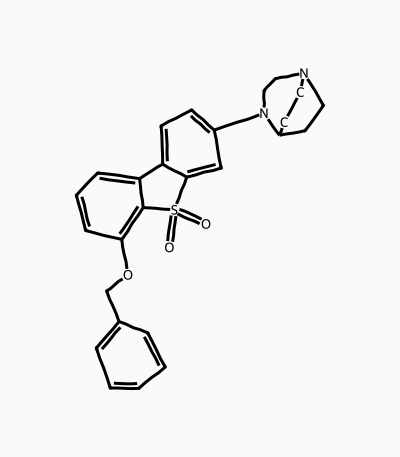 O=S1(=O)c2cc(N3CCN4CCC3CC4)ccc2-c2cccc(OCc3ccccc3)c21